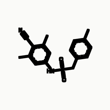 Cc1ccc(CS(=O)(=O)Nc2cc(C)c(C#N)c(C)c2)cc1